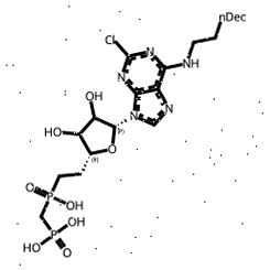 CCCCCCCCCCCCNc1nc(Cl)nc2c1ncn2[C@@H]1O[C@H](CCP(=O)(O)CP(=O)(O)O)C(O)C1O